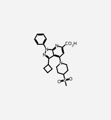 CS(=O)(=O)C1CCN(c2cc(C(=O)O)nc3c2c(C2CCC2)nn3-c2ccccc2)CC1